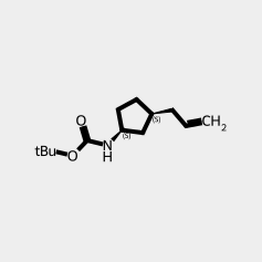 C=CC[C@@H]1CC[C@H](NC(=O)OC(C)(C)C)C1